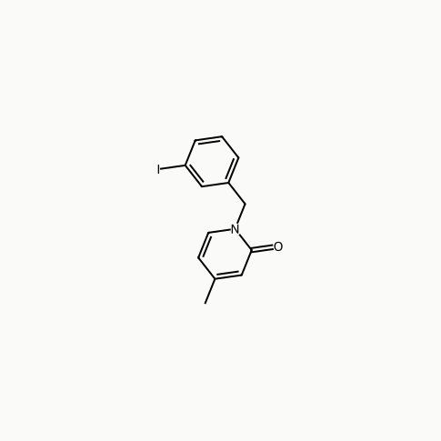 Cc1ccn(Cc2cccc(I)c2)c(=O)c1